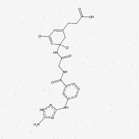 Nc1nc(Nc2cccc(C(=O)NCC(=O)NC3(Cl)C=C(Cl)C=C(CCC(=O)O)C3)c2)n[nH]1